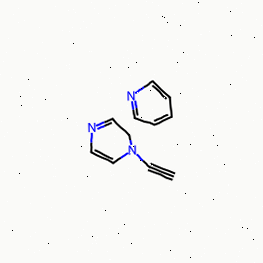 C#CN1C=CN=CC1.c1ccncc1